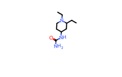 CCC1CC(NC(N)=O)CCN1CC